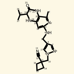 Cc1nc(NCc2cnn(CC3(C#N)CCC3)c2)cc2c1NC(=O)C(C(C)C)N2